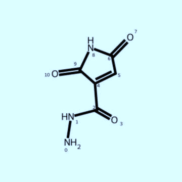 NNC(=O)C1=CC(=O)NC1=O